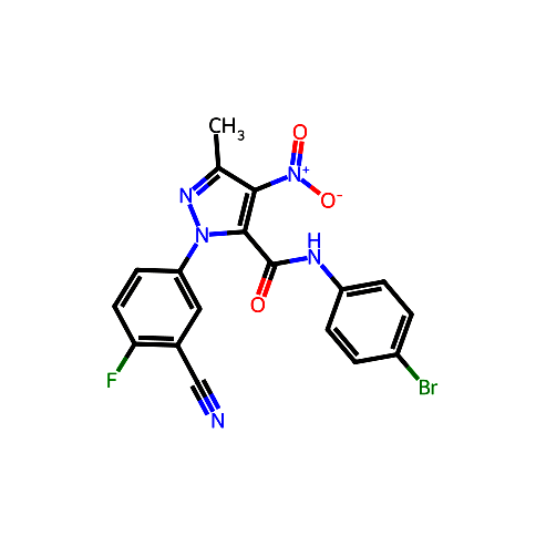 Cc1nn(-c2ccc(F)c(C#N)c2)c(C(=O)Nc2ccc(Br)cc2)c1[N+](=O)[O-]